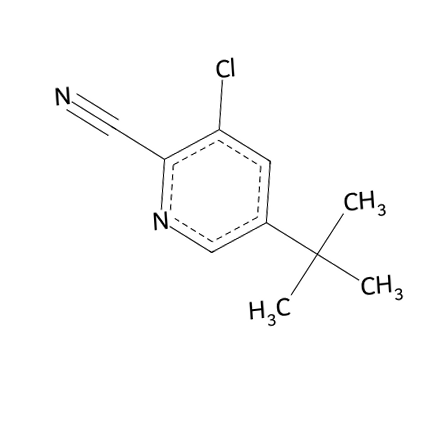 CC(C)(C)c1cnc(C#N)c(Cl)c1